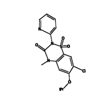 CC(C)Oc1cc2c(cc1Cl)S(=O)(=O)N(c1ccccn1)C(=O)N2C